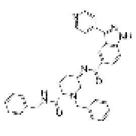 O=C(/N=C1/CC[C@@H](C(=O)NCc2ccccc2)N(Cc2ccccc2)C1)c1ccc2[nH]nc(-c3ccncc3)c2c1